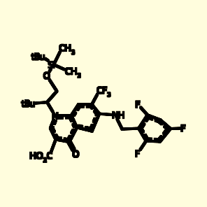 CC(C)(C)C(CO[Si](C)(C)C(C)(C)C)n1cc(C(=O)O)c(=O)c2cc(NCc3c(F)cc(F)cc3F)c(C(F)(F)F)cc21